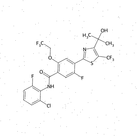 CC(C)(O)c1nc(-c2cc(OCC(F)(F)F)c(C(=O)Nc3c(F)cccc3Cl)cc2F)sc1C(F)(F)F